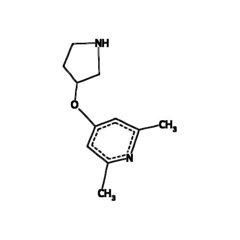 Cc1cc(OC2CCNC2)cc(C)n1